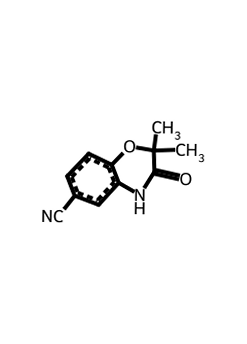 CC1(C)Oc2ccc(C#N)cc2NC1=O